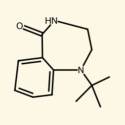 CC(C)(C)N1CCNC(=O)c2ccccc21